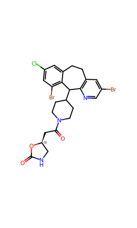 O=C1NC[C@H](CC(=O)N2CCC(C3c4ncc(Br)cc4CCc4cc(Cl)cc(Br)c43)CC2)O1